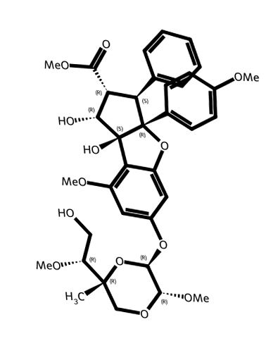 COC(=O)[C@H]1[C@@H](O)[C@@]2(O)c3c(OC)cc(O[C@@H]4O[C@@](C)([C@@H](CO)OC)CO[C@H]4OC)cc3O[C@@]2(c2ccc(OC)cc2)[C@@H]1c1ccccc1